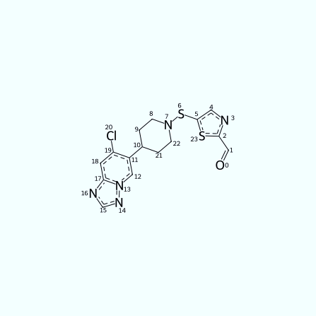 O=Cc1ncc(SN2CCC(c3cn4ncnc4cc3Cl)CC2)s1